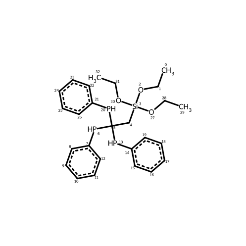 CCO[Si](CC(Pc1ccccc1)(Pc1ccccc1)Pc1ccccc1)(OCC)OCC